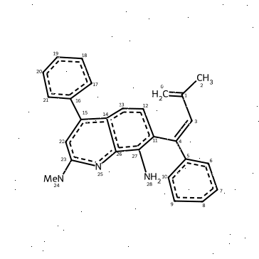 C=C(C)/C=C(/c1ccccc1)c1ccc2c(-c3ccccc3)cc(NC)nc2c1N